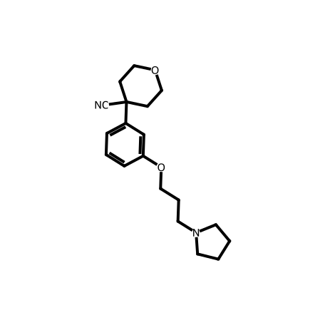 N#CC1(c2cccc(OCCCN3CCCC3)c2)CCOCC1